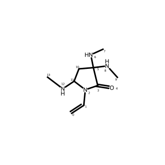 C=CN1C(=O)C(NC)(NC)CC1NC